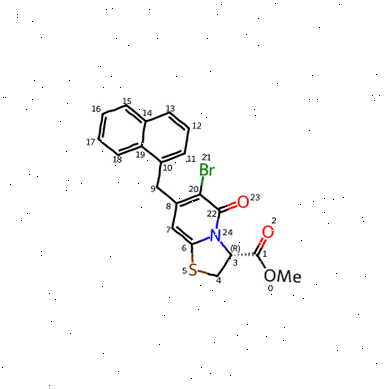 COC(=O)[C@@H]1CSc2cc(Cc3cccc4ccccc34)c(Br)c(=O)n21